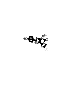 CCCN1C(=O)N2C[C@@H](CC)N=C2c2[nH]c(C34CCC(O)(CC3)CC4)nc21